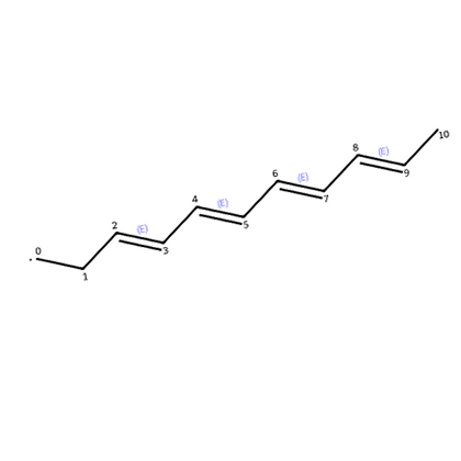 [CH2]C/C=C/C=C/C=C/C=C/C